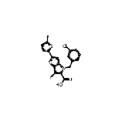 Cc1ccc(-c2cc3c(s2)c(I)c(C(=O)O)n3Cc2cccc(Cl)c2)s1